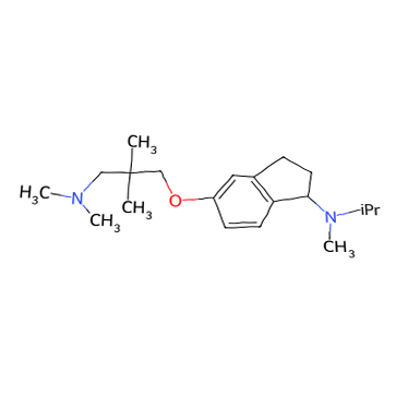 CC(C)N(C)C1CCc2cc(OCC(C)(C)CN(C)C)ccc21